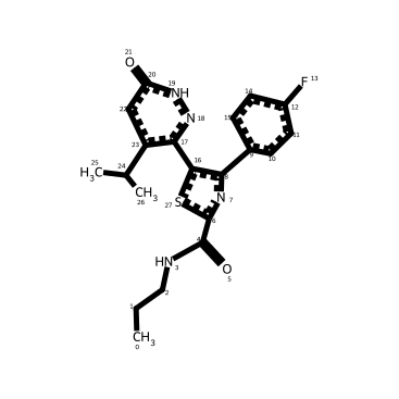 CCCNC(=O)c1nc(-c2ccc(F)cc2)c(-c2n[nH]c(=O)cc2C(C)C)s1